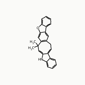 CC1(C)/C=c2/[nH]c3ccccc3/c2=C/Cc2cc3c(cc21)oc1ccccc13